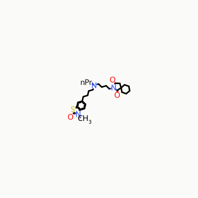 CCCN(CCCCc1ccc2c(c1)sc(=O)n2C)CCCCN1C(=O)CC2(CCCCC2)C1=O